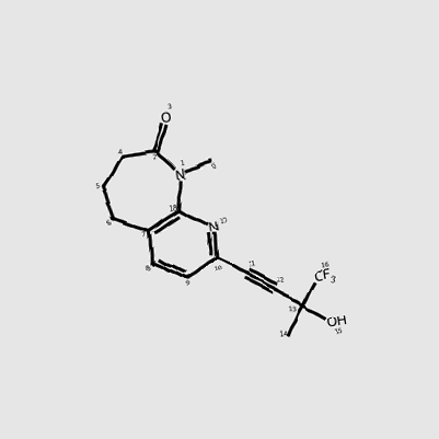 CN1C(=O)CCCc2ccc(C#CC(C)(O)C(F)(F)F)nc21